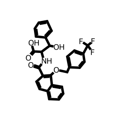 O=C(NC(C(=O)O)C(O)c1ccccc1)c1ccc2ccccc2c1OCc1ccc(C(F)(F)F)cc1